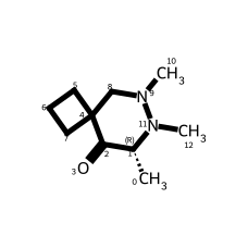 C[C@@H]1C(=O)C2(CCC2)CN(C)N1C